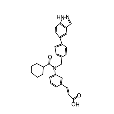 O=C(O)C=Cc1cccc(N(Cc2ccc(-c3ccc4[nH]ncc4c3)cc2)C(=O)C2CCCCC2)c1